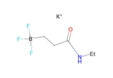 CCNC(=O)CC[B-](F)(F)F.[K+]